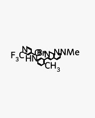 CNc1ccc2c(n1)CN(Br)C(c1cc(NC(=O)c3ccnc(C(F)(F)F)c3)ccc1C)=C2